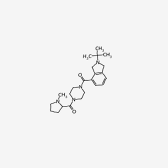 CN1CCCC1C(=O)N1CCN(C(=O)c2cccc3c2CN(C(C)(C)C)C3)CC1